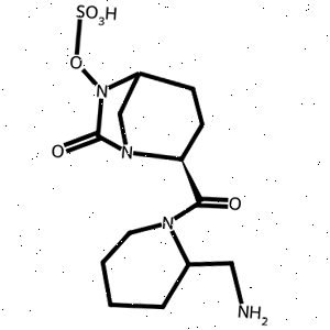 NCC1CCCCN1C(=O)[C@@H]1CCC2CN1C(=O)N2OS(=O)(=O)O